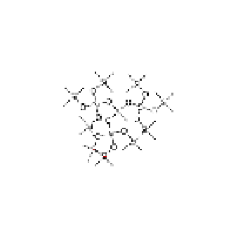 C[Si](C)(C)O[Si](O[Si](C)(C)C)(O[Si](C)(C)C)O[Si](C)(O[Si](O[Si](C)(C)C)(O[Si](C)(C)C)O[Si](C)(C)C)O[Si](O[Si](C)(C)C)(O[Si](C)(C)C)O[Si](C)(C)C